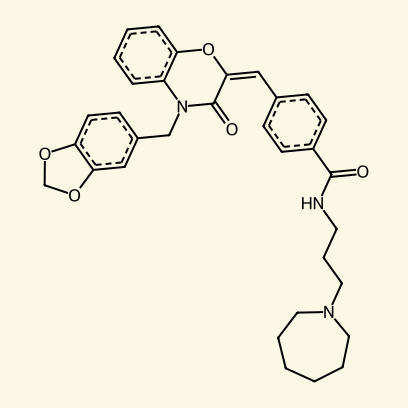 O=C(NCCCN1CCCCCC1)c1ccc(C=C2Oc3ccccc3N(Cc3ccc4c(c3)OCO4)C2=O)cc1